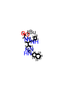 CC(C)(C)OC(=O)Cn1cc(-c2cnc(NC3Cc4ccccc4C3)nc2)c(NC2CCC2)n1